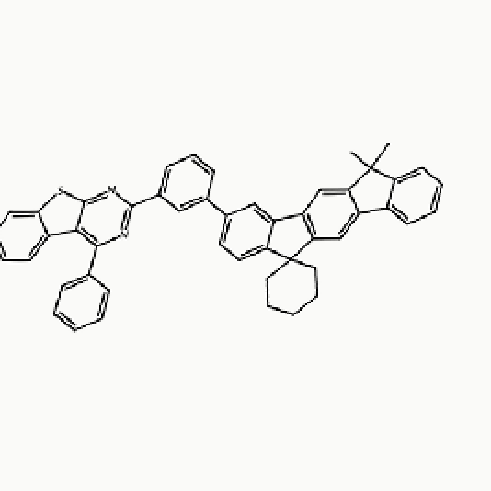 CC1(C)c2ccccc2-c2cc3c(cc21)-c1cc(-c2cccc(-c4nc(-c5ccccc5)c5c(n4)sc4ccccc45)c2)ccc1C31CCCCC1